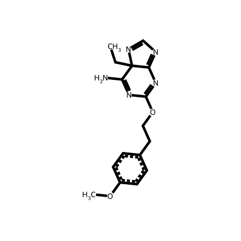 CCC12N=CN=C1N=C(OCCc1ccc(OC)cc1)N=C2N